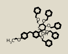 CCOc1ccc(Cc2ccc(OCc3ccccc3)c(C3(O)S[C@H](COCc4ccccc4)[C@@H](OCc4ccccc4)[C@H](OCc4ccccc4)[C@H]3OCc3ccccc3)c2)cc1